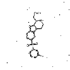 COCC1NCCc2c1oc1ccc(S(=O)(=O)c3cccc(F)c3)cc21